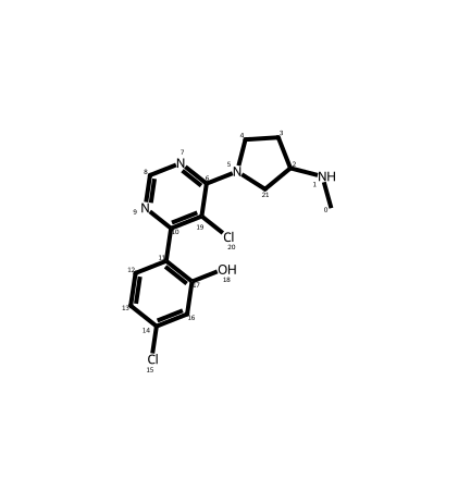 CNC1CCN(c2ncnc(-c3ccc(Cl)cc3O)c2Cl)C1